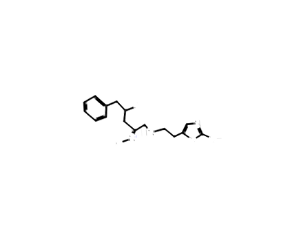 C/N=C(/CNCCc1cnc(C)s1)CC(C)Cc1ccccc1